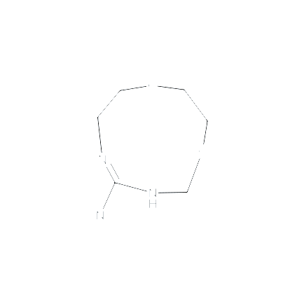 N/C1=N/CCCCCCCN1